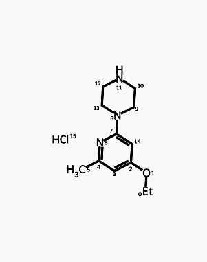 CCOc1cc(C)nc(N2CCNCC2)c1.Cl